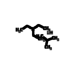 CCN(CC)CC.C[C](C)C.[LiH]